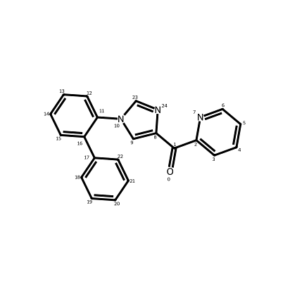 O=C(c1ccccn1)c1cn(-c2ccccc2-c2ccccc2)cn1